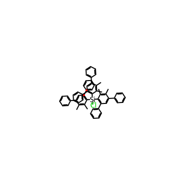 Cc1c(-c2ccccc2)cc(-c2ccccc2)c([Si](Cl)(c2c(-c3ccccc3)cc(-c3ccccc3)c(C)c2C)c2c(-c3ccccc3)cc(-c3ccccc3)c(C)c2C)c1C